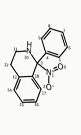 O=[N+]([O-])C1(c2ccccc2)NCCc2ccccc21